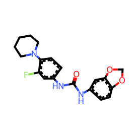 O=C(Nc1ccc(N2CCCCC2)c(F)c1)Nc1ccc2c(c1)OCO2